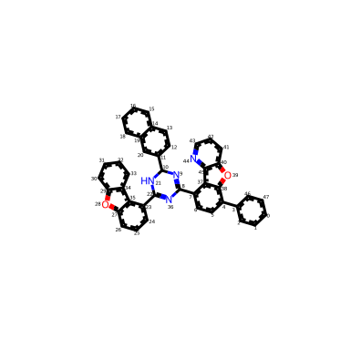 c1ccc(-c2ccc(C3=NC(c4ccc5ccccc5c4)NC(c4cccc5oc6ccccc6c45)=N3)c3c2oc2cccnc23)cc1